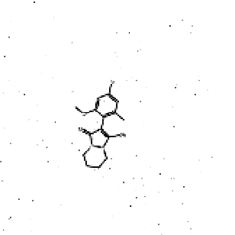 COc1cc(Br)cc(C)c1-c1c(O)n2n(c1=O)CCCC2